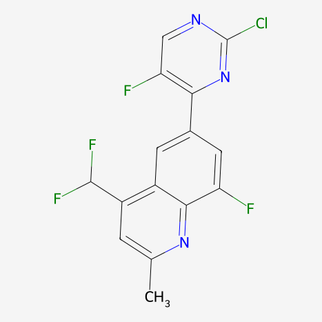 Cc1cc(C(F)F)c2cc(-c3nc(Cl)ncc3F)cc(F)c2n1